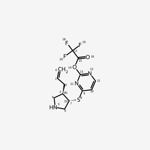 C=CC[C@@H]1CNC[C@H]1Sc1ccnc(OC(=O)C(F)(F)F)n1